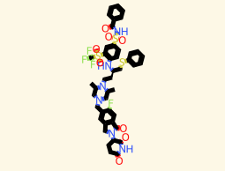 CC1CN(Cc2cc3c(cc2F)C(=O)N(C2CCC(=O)NC2=O)C3)CC(C)N1CC[C@H](CSc1ccccc1)Nc1ccc(S(=O)(=O)NC(=O)c2ccccc2)cc1S(=O)(=O)C(F)(F)F